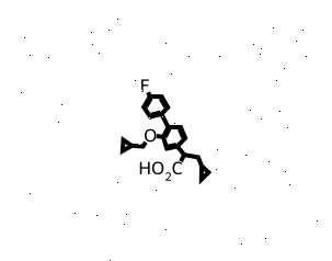 O=C(O)C(CC1CC1)c1ccc(-c2ccc(F)cc2)c(OCC2CC2)c1